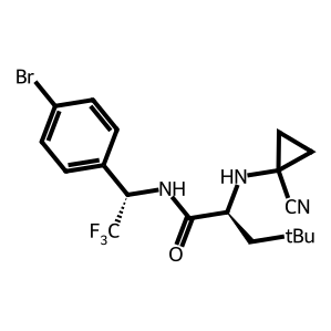 CC(C)(C)C[C@H](NC1(C#N)CC1)C(=O)N[C@@H](c1ccc(Br)cc1)C(F)(F)F